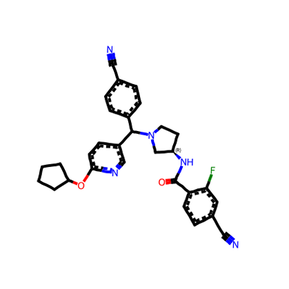 N#Cc1ccc(C(c2ccc(OC3CCCC3)nc2)N2CC[C@@H](NC(=O)c3ccc(C#N)cc3F)C2)cc1